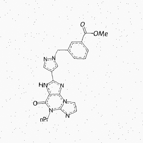 CCCn1c(=O)c2[nH]c(-c3cnn(Cc4cccc(C(=O)OC)c4)c3)nc2n2ccnc12